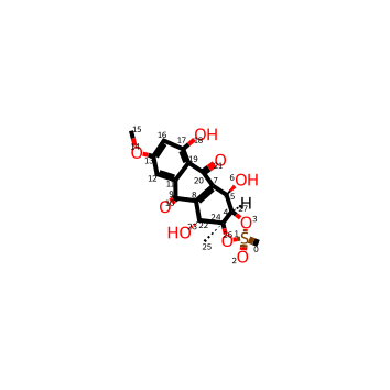 C=S1(=O)O[C@@H]2[C@H](O)C3=C(C(=O)c4cc(OC)cc(O)c4C3=O)[C@@H](O)[C@]2(C)O1